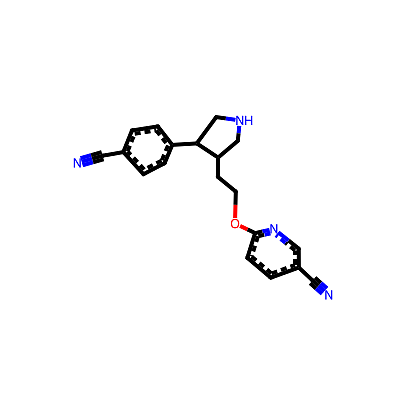 N#Cc1ccc(C2CNCC2CCOc2ccc(C#N)cn2)cc1